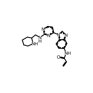 C=CC(=O)Nc1ccc2c(c1)ncn2-c1ccnc(NCC2CCCCN2)n1